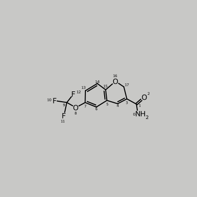 NC(=O)C1=Cc2cc(OC(F)(F)F)ccc2OC1